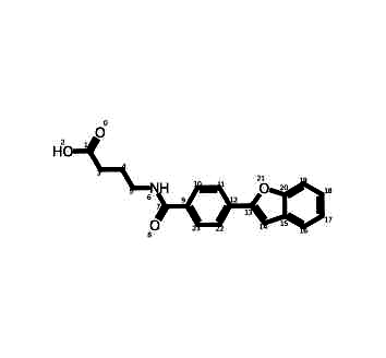 O=C(O)CCCNC(=O)c1ccc(-c2cc3ccccc3o2)cc1